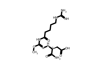 COC(=NN[C@@H](CC(=O)O)C(N)=O)NC(=O)CCCCNC(=N)N